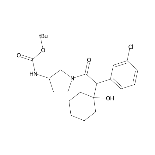 CC(C)(C)OC(=O)NC1CCN(C(=O)C(c2cccc(Cl)c2)C2(O)CCCCC2)C1